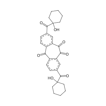 O=C1C(=O)c2cc(C(=O)C3(O)CCCCC3)ccc2C(=O)c2ccc(C(=O)C3(O)CCCCC3)cc21